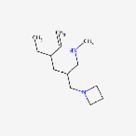 C=CC(CC)CC(CNC)CN1CCC1